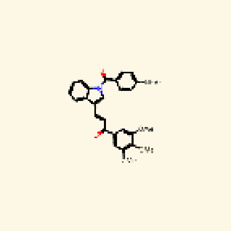 COc1cc(C(=O)C=Cc2cn(C(=O)c3ccc(NC(C)=O)cc3)c3ccccc23)cc(OC)c1OC